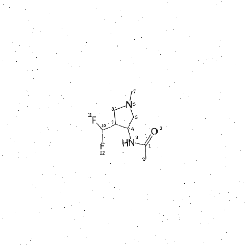 CC(=O)NC1CN(C)CC1C(F)F